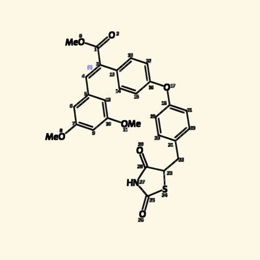 COC(=O)/C(=C/c1cc(OC)cc(OC)c1)c1ccc(Oc2ccc(CC3SC(=O)NC3=O)cc2)cc1